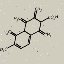 C=C1C(=C)C2C(=C)C(C(=O)O)=CC=C2C(=C)C1C(=O)O